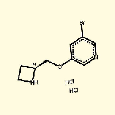 Brc1cncc(OC[C@@H]2CCN2)c1.Cl.Cl